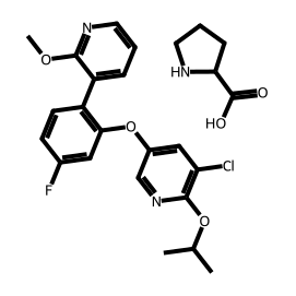 COc1ncccc1-c1ccc(F)cc1Oc1cnc(OC(C)C)c(Cl)c1.O=C(O)C1CCCN1